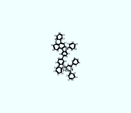 C1=C(c2ccccc2)N=C(c2ccccc2)NC1n1c2ccccc2c2ccc(-c3ccc4c(c3)c3c5cccc6c5c(cc3n4-c3ccccc3)-c3ccccc3S6)cc21